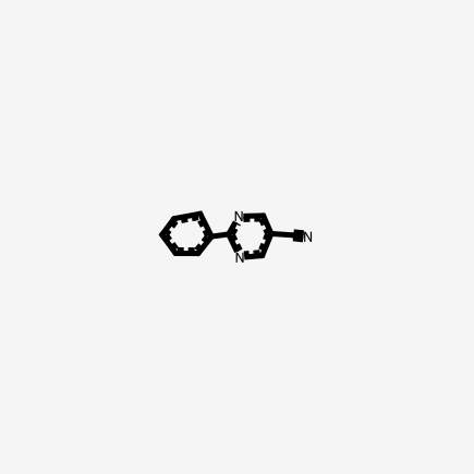 N#Cc1cnc(-c2ccccc2)nc1